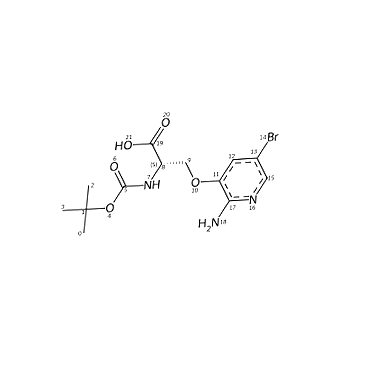 CC(C)(C)OC(=O)N[C@@H](COc1cc(Br)cnc1N)C(=O)O